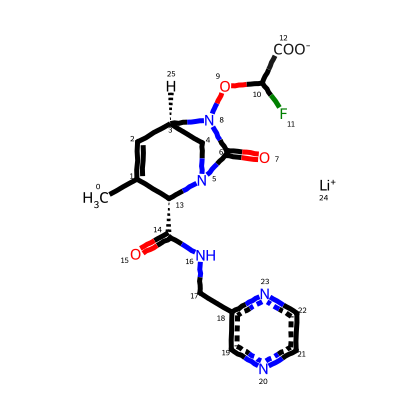 CC1=C[C@@H]2CN(C(=O)N2OC(F)C(=O)[O-])[C@@H]1C(=O)NCc1cnccn1.[Li+]